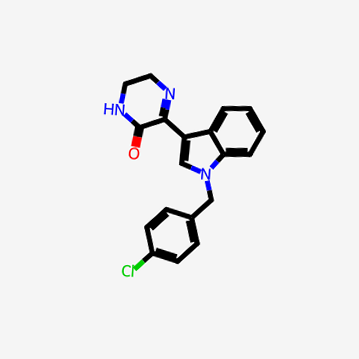 O=C1NCCN=C1c1cn(Cc2ccc(Cl)cc2)c2ccccc12